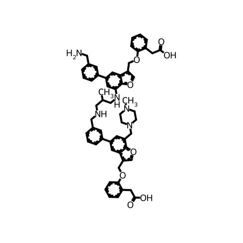 CC(CNCc1cccc(-c2cc(CN3CCN(C)CC3)c3occ(COc4ccccc4CC(=O)O)c3c2)c1)CNc1cc(-c2cccc(CN)c2)cc2c(COc3ccccc3CC(=O)O)coc12